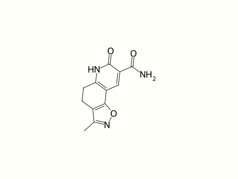 Cc1noc2c1CCc1[nH]c(=O)c(C(N)=O)cc1-2